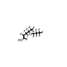 OC(F)=C(F)C(F)(F)C(F)(OC(F)(F)C(F)(F)C(F)(F)F)C(F)(F)F